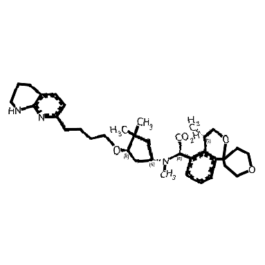 C[C@@H]1COC2(CCOCC2)c2cccc([C@H](C(=O)O)N(C)[C@@H]3C[C@@H](OCCCCc4ccc5c(n4)NCCC5)C(C)(C)C3)c21